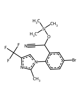 Cc1nc(C(F)(F)F)cn1-c1ccc(Br)cc1C(C#N)O[Si](C)(C)C